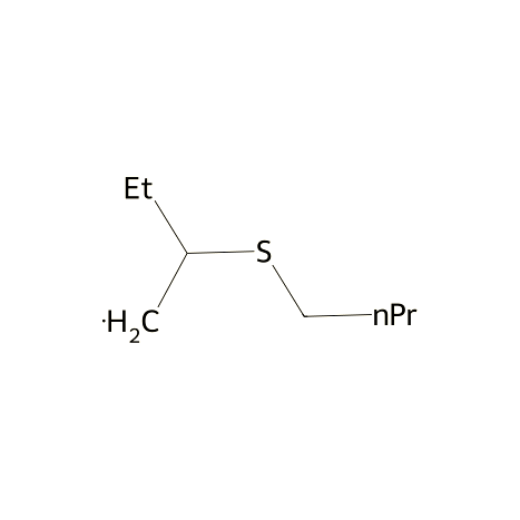 [CH2]C(CC)SCCCC